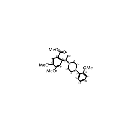 COC(=O)c1cc(OC)c(OC)cc1C(C)N1CCN(c2ccccc2OC)CC1